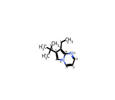 CCc1c(C(C)(C)C)cn2cccnc12